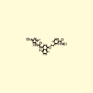 CCNC(=O)c1cc(CCOc2ccc(NC(=O)Nc3cc(C(C)(C)C)nn3C)c3ccccc23)ccn1